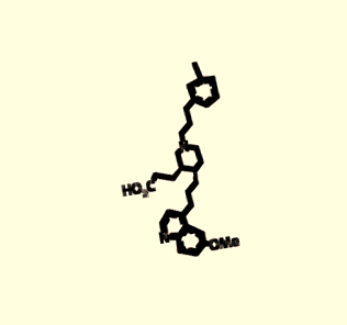 COc1ccc2nccc(CCC[C@@H]3CCN(CCCc4cccc(C)c4)C[C@@H]3CCC(=O)O)c2c1